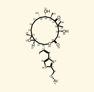 CC(=O)SCc1nc(/C=C(\C)[C@@H]2C[C@@H]3O[C@]3(C)CCC[C@H](C)[C@H](O)[C@@H](C)C(=O)C(C)(C)[C@@H](O)CC(=O)O2)cs1